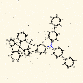 CC1(C)c2ccccc2C2(c3ccccc3-c3ccccc32)c2cccc(-c3ccc(N(c4ccc(-c5ccccc5)cc4)c4ccc(-c5ccccc5)cc4)cc3)c21